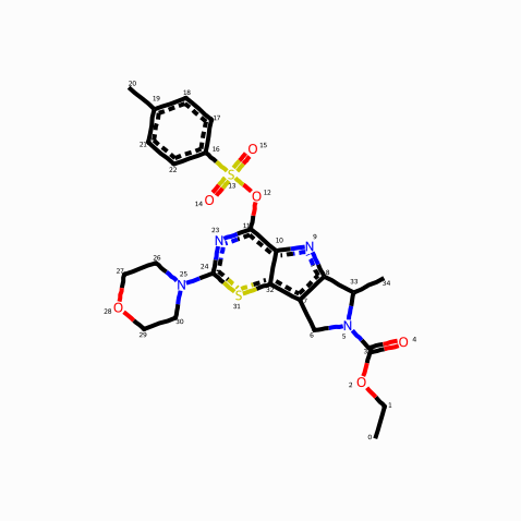 CCOC(=O)N1Cc2c(nc3c(OS(=O)(=O)c4ccc(C)cc4)nc(N4CCOCC4)sc2-3)C1C